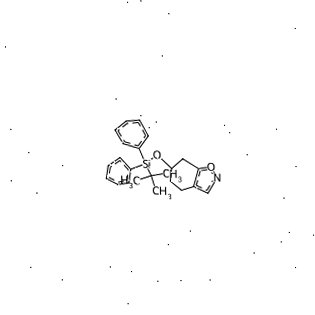 CC(C)(C)[Si](OC1CCc2cnoc2C1)(c1ccccc1)c1ccccc1